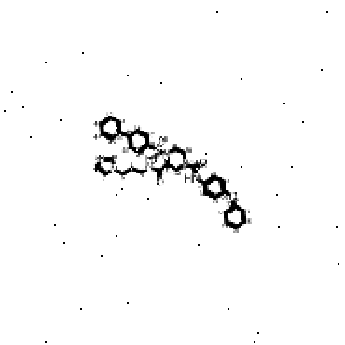 O=C(NCCCn1ccnc1)C1CN(C(=O)Nc2ccc(Oc3ccccc3)cc2)CCN1S(=O)(=O)c1ccc(-c2ccccc2)cc1